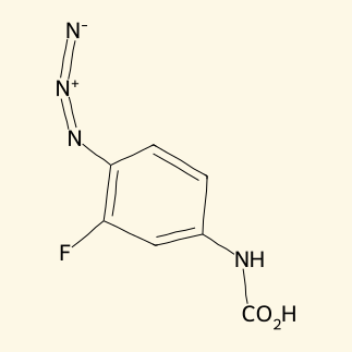 [N-]=[N+]=Nc1ccc(NC(=O)O)cc1F